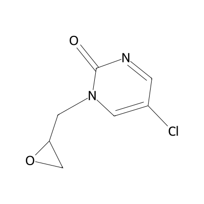 O=c1ncc(Cl)cn1CC1CO1